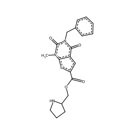 Cn1c(=O)n(Cc2ccccc2)c(=O)c2cc(C(=O)OCC3CCCN3)sc21